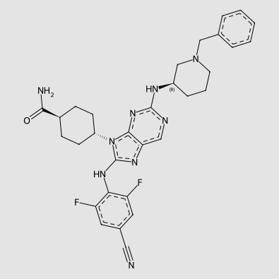 N#Cc1cc(F)c(Nc2nc3cnc(N[C@@H]4CCCN(Cc5ccccc5)C4)nc3n2[C@H]2CC[C@H](C(N)=O)CC2)c(F)c1